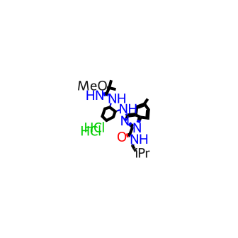 COC(C)(C)C(=N)N[C@@H]1CCCC[C@@H]1Nc1nc(C(=O)NCC(C)C)nc2ccc(C)cc12.Cl.Cl